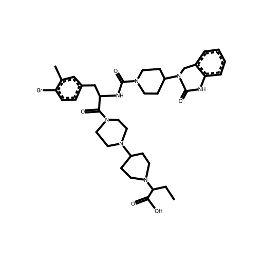 CCC(C(=O)O)N1CCC(N2CCN(C(=O)C(Cc3ccc(Br)c(C)c3)NC(=O)N3CCC(N4Cc5ccccc5NC4=O)CC3)CC2)CC1